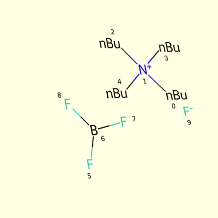 CCCC[N+](CCCC)(CCCC)CCCC.FB(F)F.[F-]